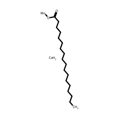 CCCCCCCCCCCCCCCCCC(=O)[O][Mo].[CaH2]